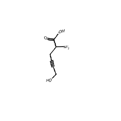 NC(CC#CCO)C(=O)O